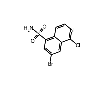 NS(=O)(=O)c1cc(Br)cc2c(Cl)nccc12